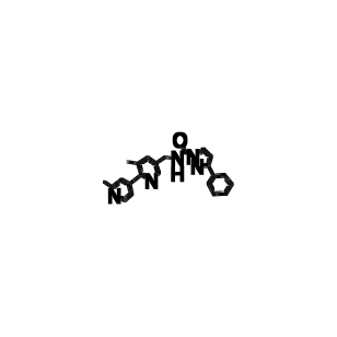 Cc1cc(-c2ncc(CNC(=O)n3ccc(-c4ccccc4)n3)cc2C)ccn1